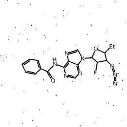 CCC1OC(n2cnc3c(NC(=O)c4ccccc4)ncnc32)C(F)C1N=[N+]=[N-]